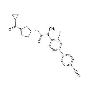 CN(C(=O)C[C@@H]1CCN(C(=O)C2CC2)C1)c1ccc(-c2ccc(C#N)cc2)cc1F